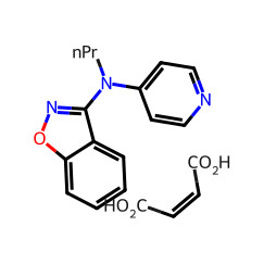 CCCN(c1ccncc1)c1noc2ccccc12.O=C(O)/C=C\C(=O)O